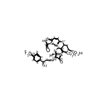 O=C(O)CCC(Sc1ccc2n[nH]c(=O)n2n1)C1=C(C(=O)O)N2C(=O)C(NCC(O)c3ccc(C(F)(F)F)cc3)[C@@H]2SC1